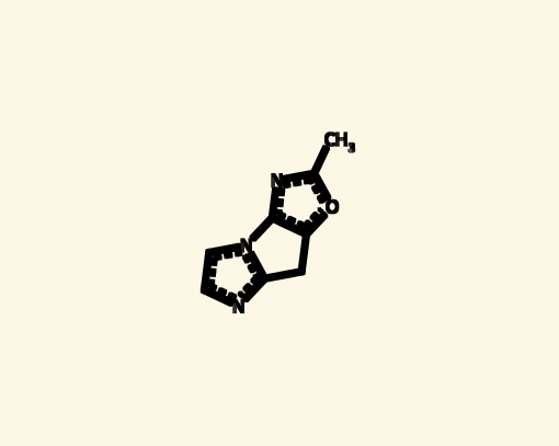 Cc1nc2c(o1)Cc1nccn1-2